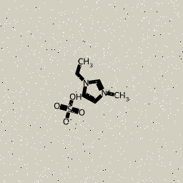 CCn1cc[n+](C)c1.O=S(=O)([O-])O